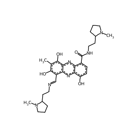 Cc1c(O)c(/C=N/CCC2CCCN2C)c2nc3c(O)ccc(C(=O)NCCC4CCCN4C)c3nc2c1O